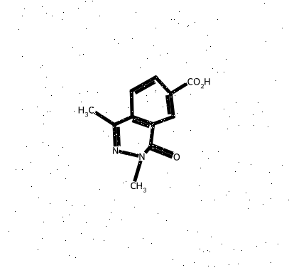 Cc1nn(C)c(=O)c2cc(C(=O)O)ccc12